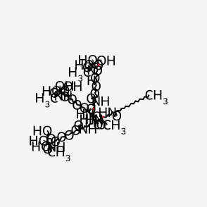 CCCCCCCCCCCCCCCC(=O)NCCCC[C@H](NC(=O)[C@H](CCCCNC(=O)COCCOCCOCCO[C@@H]1O[C@H](CCO)[C@H](O)[C@H](O)[C@H]1NC(C)=O)NC(=O)[C@H](CCCCNC(=O)COCCOCCOCCO[C@@H]1O[C@H](CO)[C@H](O)[C@H](O)[C@H]1NC(C)=O)NC(=O)COCCOCCOCCO[C@@H]1O[C@H](CO)[C@H](O)[C@H](O)[C@H]1NC(C)=O)C(=O)CC